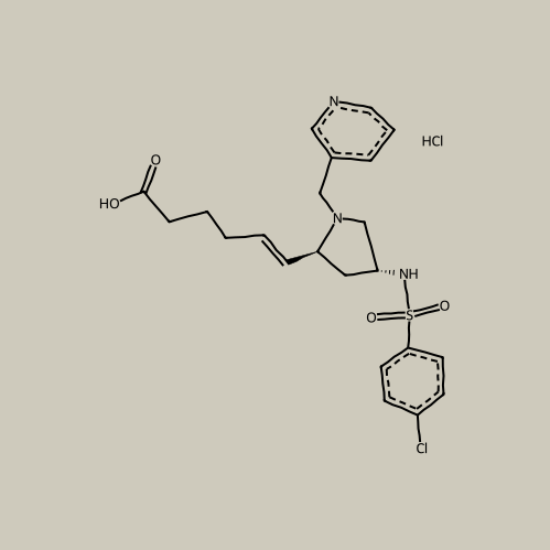 Cl.O=C(O)CCCC=C[C@@H]1C[C@@H](NS(=O)(=O)c2ccc(Cl)cc2)CN1Cc1cccnc1